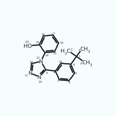 CC(C)(C)c1cccc(-c2nncn2-c2ccccc2O)c1